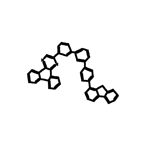 c1cc(-c2ccc(-c3cccc4c3Cc3ccccc3-4)cc2)cc(-c2cccc(-c3cnc4c5ccccc5c5ccccc5c4n3)c2)c1